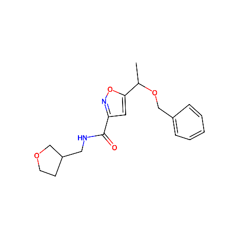 CC(OCc1ccccc1)c1cc(C(=O)NCC2CCOC2)no1